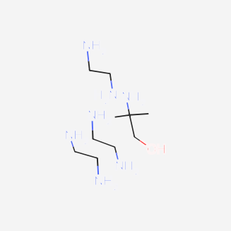 CC(C)(N)CO.NCCN.NCCN.NCCN